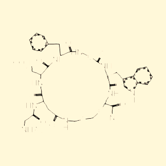 CC(=O)NCC(=O)NC1CC(=O)NCCCCC(C(N)=O)NC(=O)[C@H](Cc2c[nH]c3ccccc23)NC(=O)CNC(=O)C(Cc2ccccc2)NC(=O)C(CC(=O)O)NC1=O